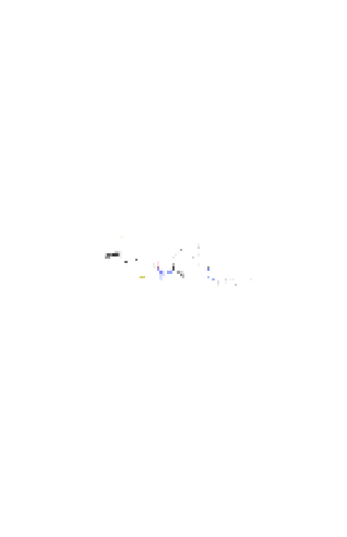 CON=CCC(C)Cc1oc([S+]([O-])CCC(F)=C(F)F)nc1C